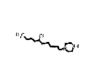 CCCC[C@@H](O)CCCCCN1CCNCC1